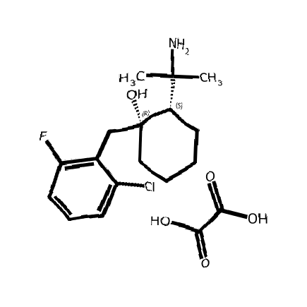 CC(C)(N)[C@@H]1CCCC[C@@]1(O)Cc1c(F)cccc1Cl.O=C(O)C(=O)O